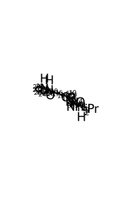 CC(C)CNC(=O)CN1Cc2cccc(OCCCCCC(=O)NC3CCC4CCCCC4N3)c2N=C1N